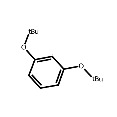 CC(C)(C)Oc1[c]c(OC(C)(C)C)ccc1